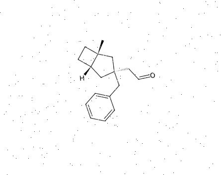 C[C@]12CC[C@H]1C[C@](CC=O)(Cc1ccccc1)C2